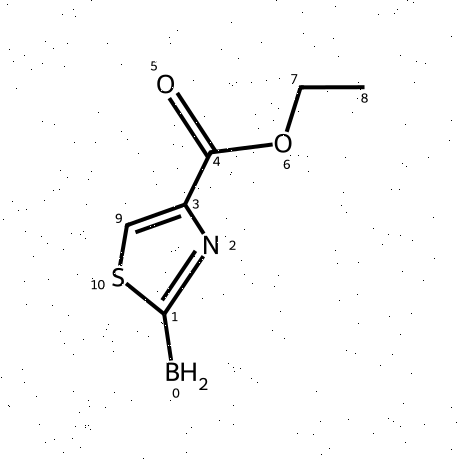 Bc1nc(C(=O)OCC)cs1